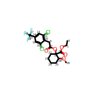 CCOC(=O)C1(OC(=O)Cc2c(Cl)cc(C(F)(F)F)cc2Cl)CCCCC1OC